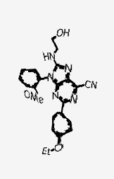 CCOc1ccc(-c2nc(C#N)c3nc(NCCO)n(-c4ccccc4OC)c3n2)cc1